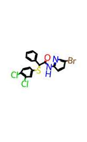 O=C(Nc1ccc(Br)cn1)C(Sc1ccc(Cl)c(Cl)c1)c1ccccc1